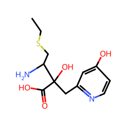 CCSCC(N)C(O)(Cc1cc(O)ccn1)C(=O)O